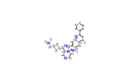 Cc1cc(-c2ccccc2)nc2cc(C3=NC(C4CC(CN(C)C)C4)=C4C=NC=C[N+]34N)ccc12